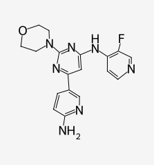 Nc1ccc(-c2cc(Nc3ccncc3F)nc(N3CCOCC3)n2)cn1